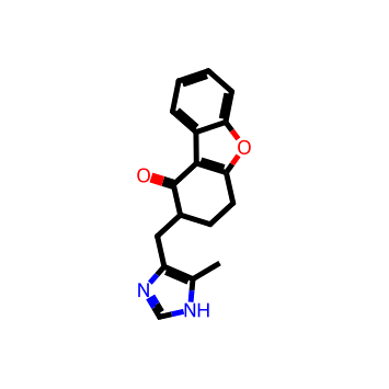 Cc1[nH]cnc1CC1CCc2oc3ccccc3c2C1=O